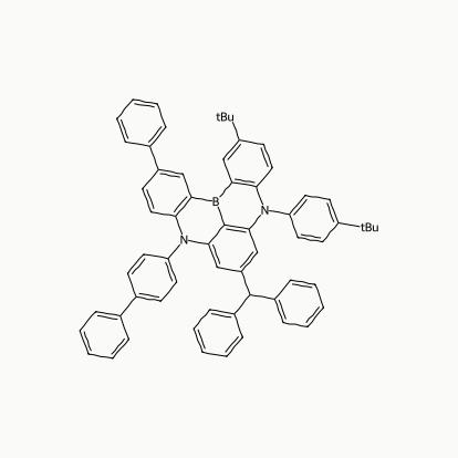 CC(C)(C)c1ccc(N2c3ccc(C(C)(C)C)cc3B3c4cc(-c5ccccc5)ccc4N(c4ccc(-c5ccccc5)cc4)c4cc(C(c5ccccc5)c5ccccc5)cc2c43)cc1